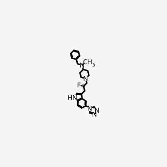 CN(Cc1ccccc1)C1CCN(C[C@H](F)Cc2c[nH]c3ccc(-n4cnnc4)cc23)CC1